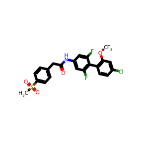 CS(=O)(=O)c1ccc(CC(=O)Nc2cc(F)c(-c3ccc(Cl)cc3OC(F)(F)F)c(F)c2)cc1